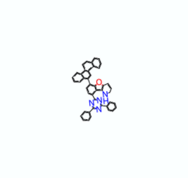 C1=Cc2oc3c(-c4cc5c6ccccc6ccc5c5ccccc45)ccc(-c4nc(-c5ccccc5)nc(-c5ccccc5)n4)c3c2NC1